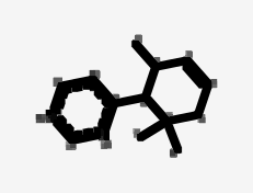 CC1C=CCC(C)(C)C1c1ccncn1